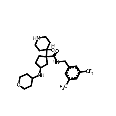 O=C(NCc1cc(C(F)(F)F)cc(C(F)(F)F)c1)C1(C2(O)CCNCC2)CCC(NC2CCOCC2)C1